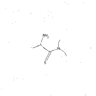 [CH2]C(N)C(=S)N(C)C